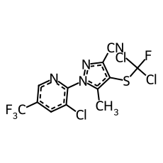 Cc1c(SC(F)(Cl)Cl)c(C#N)nn1-c1ncc(C(F)(F)F)cc1Cl